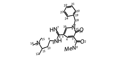 CNC(=O)c1cc(C(=N)NCCC(C)N(C)C)cn(Cc2ccccc2)c1=O